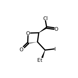 CC[C@H](I)[C@@H]1C(=O)O[C@H]1C(=O)Cl